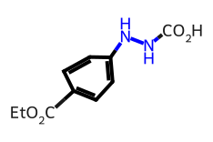 CCOC(=O)c1ccc(NNC(=O)O)cc1